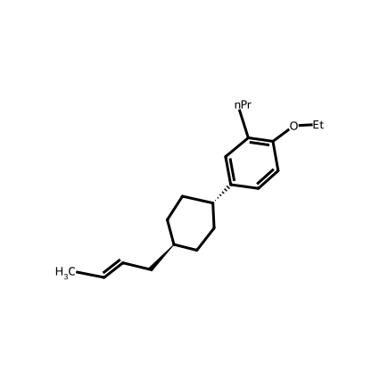 CC=CC[C@H]1CC[C@H](c2ccc(OCC)c(CCC)c2)CC1